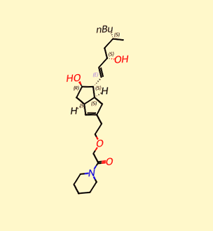 CCCC[C@H](C)C[C@H](O)/C=C/[C@@H]1[C@H]2CC(CCOCC(=O)N3CCCCC3)=C[C@H]2C[C@H]1O